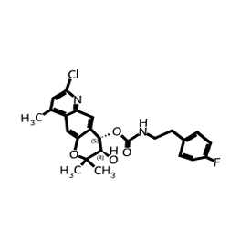 Cc1cc(Cl)nc2cc3c(cc12)OC(C)(C)[C@H](O)[C@H]3OC(=O)NCCc1ccc(F)cc1